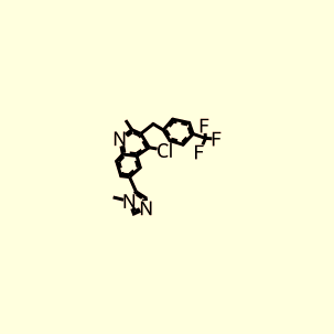 Cc1nc2ccc(-c3cncn3C)cc2c(Cl)c1Cc1ccc(C(F)(F)F)cc1